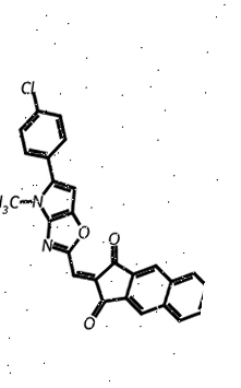 Cn1c(-c2ccc(Cl)cc2)cc2oc(C=C3C(=O)c4cc5ccccc5cc4C3=O)nc21